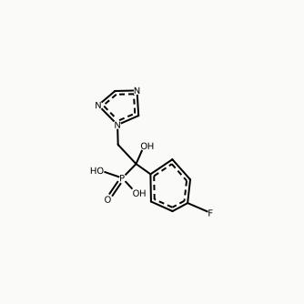 O=P(O)(O)C(O)(Cn1cncn1)c1ccc(F)cc1